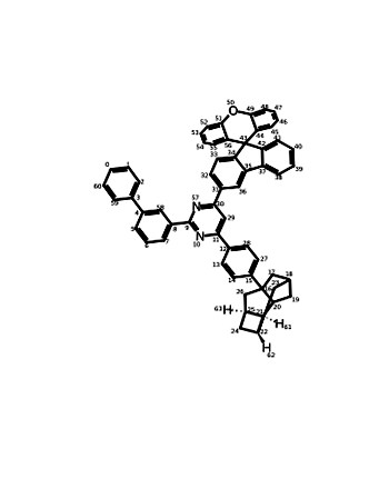 c1ccc(-c2cccc(-c3nc(-c4ccc(C56CC7CC5[C@H]5[C@H](C7)C[C@H]5C6)cc4)cc(-c4ccc5c(c4)-c4ccccc4C54c5ccccc5Oc5ccccc54)n3)c2)cc1